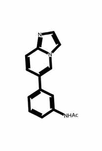 CC(=O)Nc1cccc(-c2ccc3nccn3c2)c1